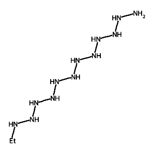 CCNNNNNNNNNNNN